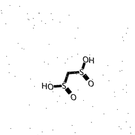 O=S(O)CS(=O)O